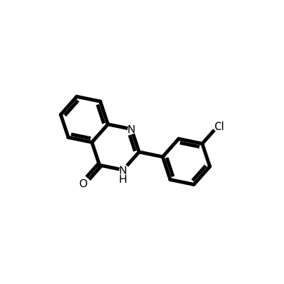 O=c1[nH]c(-c2cccc(Cl)c2)nc2ccccc12